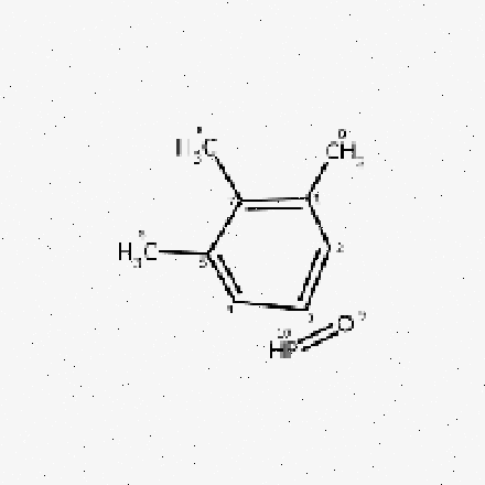 Cc1cccc(C)c1C.O=P